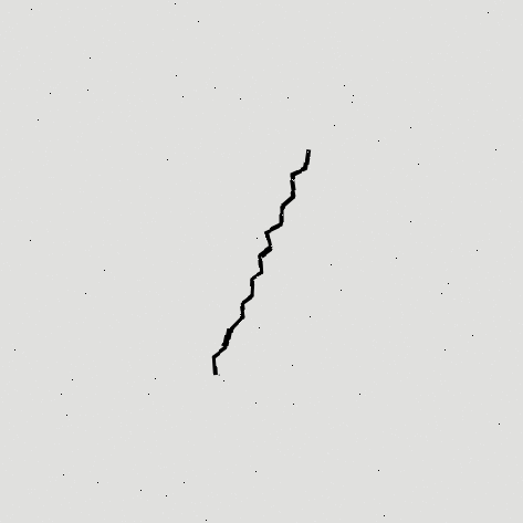 [CH2]CC=CCCCCCC=CCCCCCCC